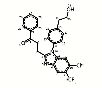 O=C(CCc1nc2cc(C(F)(F)F)c(Cl)cc2n1-c1ccc(CCO)cc1)c1ccccn1